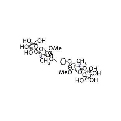 C/C=C1/[C@H](O[C@@H]2O[C@H](CO)[C@@H](O)[C@H](O)[C@H]2O)OC=C(C(=O)OC)[C@H]1CC(=O)OCCc1ccc(OC(=O)C[C@@H]2C(C(=O)OC)=CO[C@@H](O[C@@H]3O[C@H](CO)[C@@H](O)[C@H](O)[C@H]3O)/C2=C/C)cc1